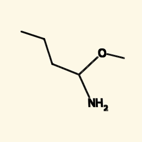 CCCC(N)OC